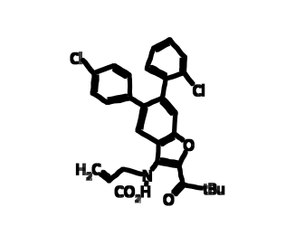 C=CCN(C(=O)O)c1c(C(=O)C(C)(C)C)oc2cc(-c3ccccc3Cl)c(-c3ccc(Cl)cc3)cc12